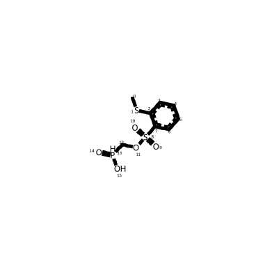 CSc1ccccc1S(=O)(=O)OC[PH](=O)O